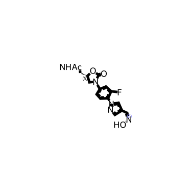 CC(=O)NC[C@H]1CN(c2ccc(-n3cc(/C=N\O)cn3)c(F)c2)C(=O)O1